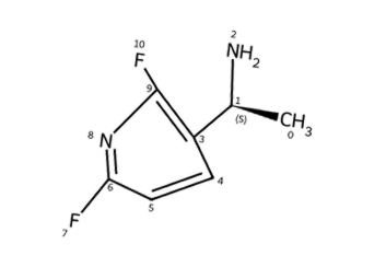 C[C@H](N)c1ccc(F)nc1F